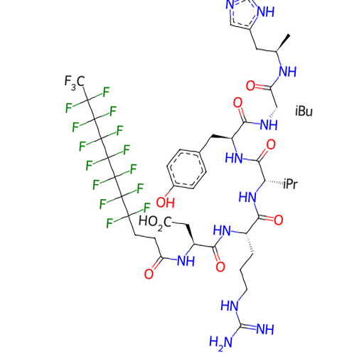 CC[C@H](C)[C@H](NC(=O)[C@H](Cc1ccc(O)cc1)NC(=O)[C@@H](NC(=O)[C@H](CCCNC(=N)N)NC(=O)[C@H](CC(=O)O)NC(=O)CCC(F)(F)C(F)(F)C(F)(F)C(F)(F)C(F)(F)C(F)(F)C(F)(F)C(F)(F)F)C(C)C)C(=O)N[C@H](C)Cc1cnc[nH]1